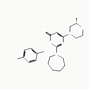 O=c1cc(N2CCO[C@H](F)C2)nc(N2CCCCC[C@@H]2Cc2ccc(F)cc2)[nH]1